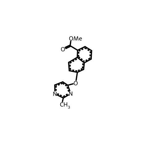 COC(=O)c1cccc2cc(Oc3ccnc(C)n3)ccc12